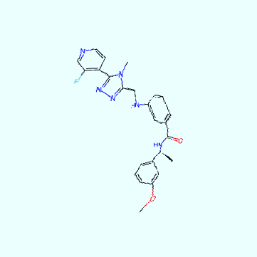 COc1cccc([C@H](C)NC(=O)c2cccc(NCc3nnc(-c4ccncc4F)n3C)c2)c1